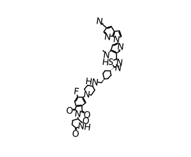 CNc1cc(-n2ccc3cc(C#N)cnc32)ncc1-c1nnc([C@H]2CC[C@H](CNC3CCN(c4cc5c(cc4F)C(=O)N(C4CCC(=O)NC4=O)C5=O)CC3)CC2)s1